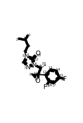 CC(C)CCn1cnn([C@H](C)[C@@]2(c3ccc(F)cc3F)CO2)c1=O